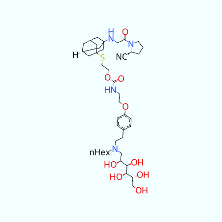 CCCCCCN(CCc1ccc(OCCNC(=O)OCCSC23CC4C[C@@H](CC(NCC(=O)N5CCC[C@H]5C#N)(C4)C2)C3)cc1)C[C@H](O)[C@@H](O)[C@H](O)[C@H](O)CO